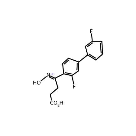 O=C(O)CC/C(=N\O)c1ccc(-c2cccc(F)c2)cc1F